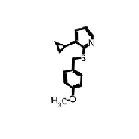 COc1ccc(CSc2ncccc2C2CC2)cc1